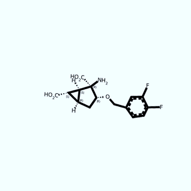 N[C@]1(C(=O)O)[C@H]2[C@@H](C[C@H]1OCc1ccc(F)c(F)c1)[C@@H]2C(=O)O